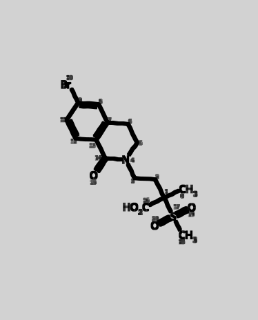 CC(CCN1CCc2cc(Br)ccc2C1=O)(C(=O)O)S(C)(=O)=O